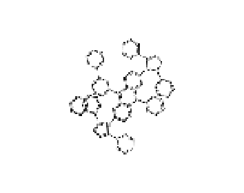 C1=C(c2ccccc2)N(c2ccc3c(-c4cc(-c5ccccc5)cc(-c5ccccc5)c4)c4cc(-n5c(-c6ccccc6)ccc5-c5ccccc5)ccc4c(-c4ccccc4)c3c2)C(c2ccccc2)C1